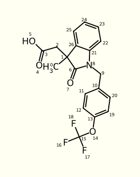 CC1(CC(=O)O)C(=O)N(Cc2ccc(OC(F)(F)F)cc2)c2ccccc21